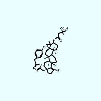 CC(C)C1=C2[C@H]3CC[C@@H]4[C@@]5(C)CC[C@H](OC(=O)CC(C)(C)C(=O)O)C(C)(C)[C@@H]5CC[C@@]4(C)[C@]3(C)CC[C@@]2(Cc2nnc(Cc3ccc(Cl)cc3)o2)CC1